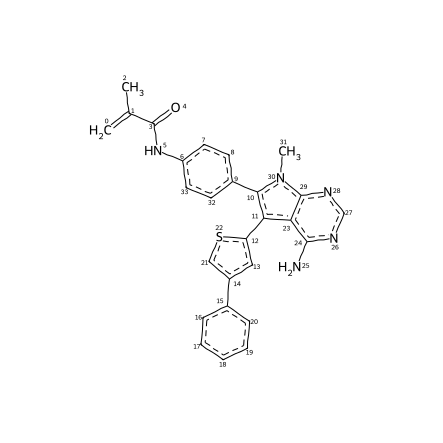 C=C(C)C(=O)Nc1ccc(-c2c(-c3cc(-c4ccccc4)cs3)c3c(N)ncnc3n2C)cc1